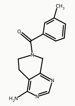 Cc1cccc(C(=O)N2CCc3c(N)ncnc3C2)c1